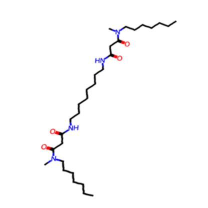 CCCCCCCN(C)C(=O)CC(=O)NCCCCCCCCNC(=O)CC(=O)N(C)CCCCCCC